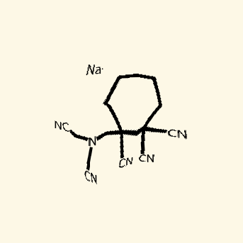 N#CN(C#N)C1(C#N)CCCCC1(C#N)C#N.[Na]